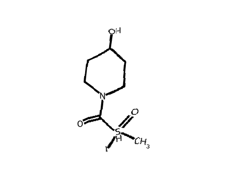 C[SH](=O)(I)C(=O)N1CCC(O)CC1